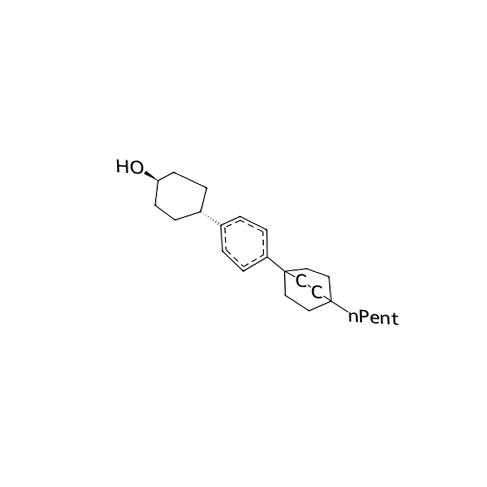 CCCCCC12CCC(c3ccc([C@H]4CC[C@H](O)CC4)cc3)(CC1)CC2